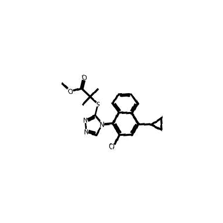 COC(=O)C(C)(C)Sc1nncn1-c1c(Cl)cc(C2CC2)c2ccccc12